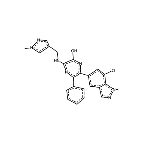 Cn1cc(CNc2nc(-c3ccccc3)c(-c3cc(Cl)c4[nH]ncc4c3)nc2O)cn1